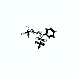 O=S(=O)(N(SOOC(F)(F)F)c1ccccc1)C(F)(F)F